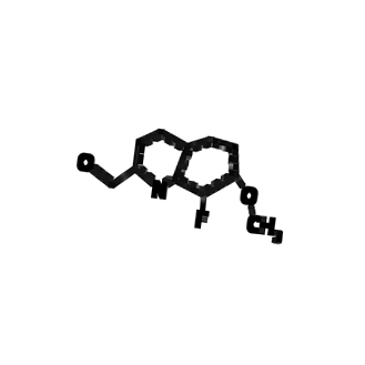 COc1ccc2ccc(C=O)nc2c1F